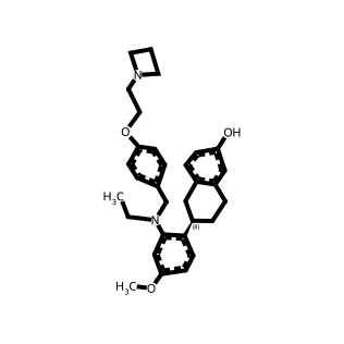 CCN(Cc1ccc(OCCN2CCC2)cc1)c1cc(OC)ccc1[C@@H]1CCc2cc(O)ccc2C1